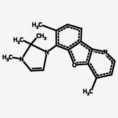 Cc1ccc2c(oc3c(C)ccnc32)c1N1C=CN(C)C1(C)C